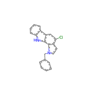 Clc1cc2c3ccccc3[nH]c2c2c1ccn2Cc1ccccc1